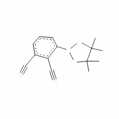 CC1(C)OB(c2cccc(C#N)c2C#N)OC1(C)C